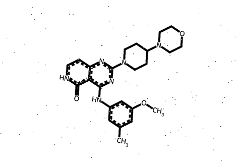 COc1cc(C)cc(Nc2nc(N3CCC(N4CCOCC4)CC3)nc3cc[nH]c(=O)c23)c1